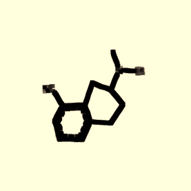 CCN(C)C1CCc2cccc(C#N)c2C1